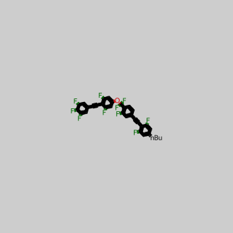 CCCCc1cc(F)c(C#Cc2ccc(C(F)(F)Oc3cc(F)c(C#CC4=CC(F)C(F)C(F)=C4)c(F)c3)c(F)c2)c(F)c1